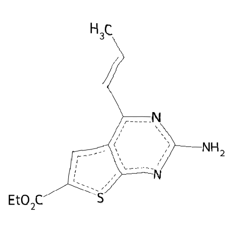 CC=Cc1nc(N)nc2sc(C(=O)OCC)cc12